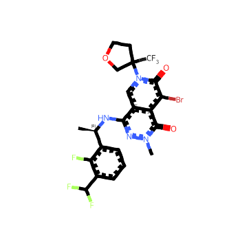 C[C@@H](Nc1nn(C)c(=O)c2c(Br)c(=O)n(C3(C(F)(F)F)CCOC3)cc12)c1cccc(C(F)F)c1F